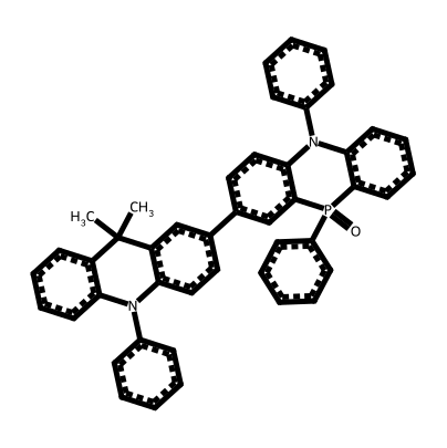 CC1(C)c2ccccc2N(c2ccccc2)c2ccc(-c3ccc4c(c3)P(=O)(c3ccccc3)c3ccccc3N4c3ccccc3)cc21